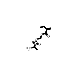 C=C(CC)C(=O)OCOS(=O)(=O)C(C)N